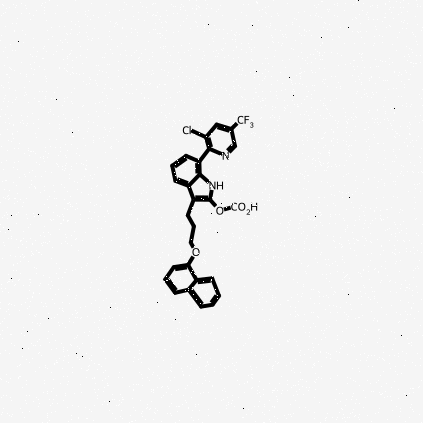 O=C(O)Oc1[nH]c2c(-c3ncc(C(F)(F)F)cc3Cl)cccc2c1CCCOc1cccc2ccccc12